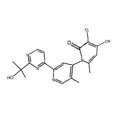 Cc1cnc(-c2ccnc(C(C)(C)O)n2)cc1-n1c(C)cc(C#N)c(Cl)c1=O